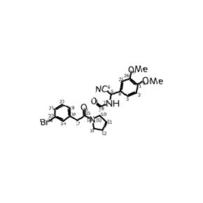 COc1ccc(C(C#N)NC(=O)[C@@H]2CCCN2C(=O)Cc2cccc(Br)c2)cc1OC